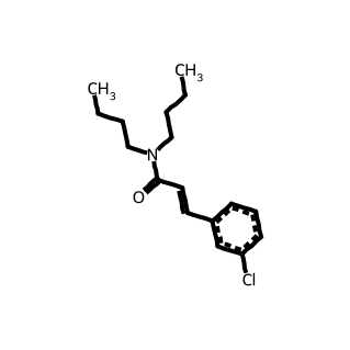 CCCCN(CCCC)C(=O)C=Cc1cccc(Cl)c1